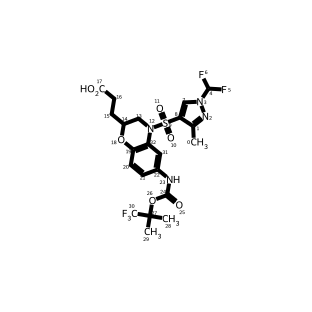 Cc1nn(C(F)F)cc1S(=O)(=O)N1CC(CCC(=O)O)Oc2ccc(NC(=O)OC(C)(C)C(F)(F)F)cc21